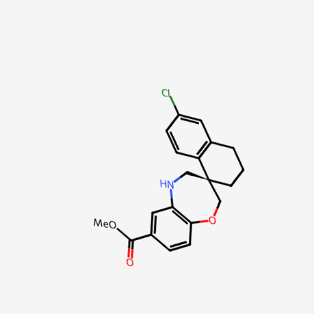 COC(=O)c1ccc2c(c1)NC[C@@]1(CCCc3cc(Cl)ccc31)CO2